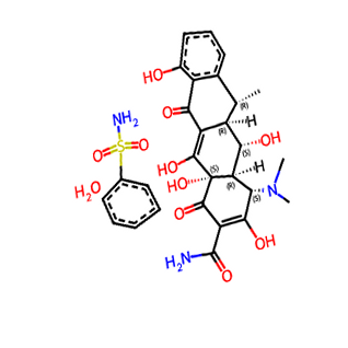 C[C@H]1c2cccc(O)c2C(=O)C2=C(O)[C@]3(O)C(=O)C(C(N)=O)=C(O)[C@@H](N(C)C)[C@@H]3[C@@H](O)[C@@H]21.NS(=O)(=O)c1ccccc1.O